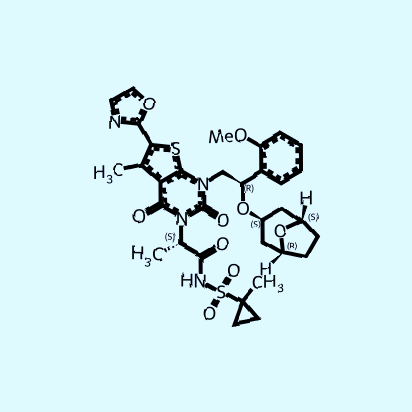 COc1ccccc1[C@H](Cn1c(=O)n([C@@H](C)C(=O)NS(=O)(=O)C2(C)CC2)c(=O)c2c(C)c(-c3ncco3)sc21)O[C@@H]1C[C@H]2CC[C@@H](C1)O2